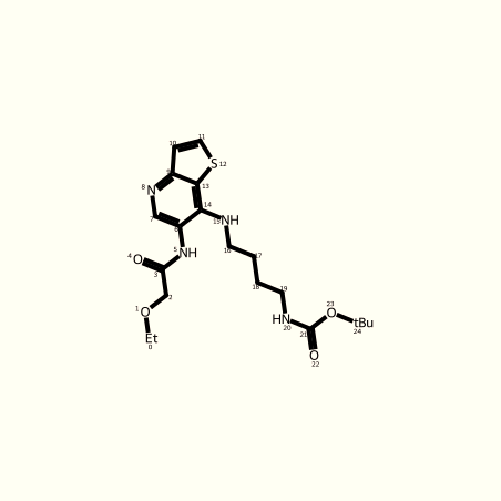 CCOCC(=O)Nc1cnc2ccsc2c1NCCCCNC(=O)OC(C)(C)C